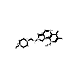 CCCN1C=C(C)C(C)C2=C1N1CN(OCN3CCN(C)CC3)C=C1C=N2